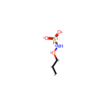 CCCON[SH](=O)=O